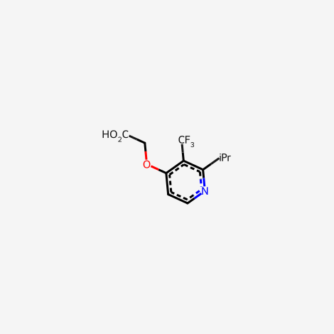 CC(C)c1nccc(OCC(=O)O)c1C(F)(F)F